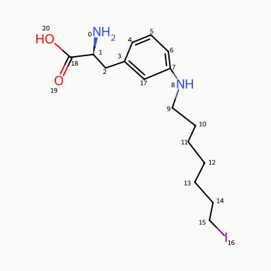 N[C@@H](Cc1cccc(NCCCCCCCI)c1)C(=O)O